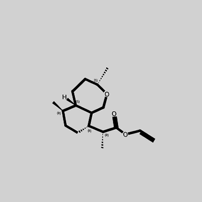 C=COC(=O)[C@H](C)[C@@H]1CC[C@@H](C)[C@@H]2CC[C@H](C)OCC21